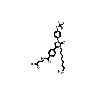 CCCCCCCCN1C(=O)N(c2ccc(OC(F)(F)F)cc2)CC1c1ccc(C(=O)NCCC(=O)O)cc1